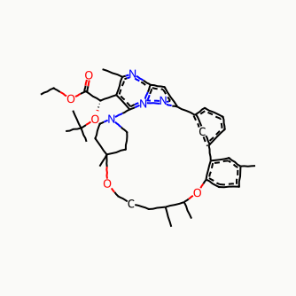 CCOC(=O)[C@@H](OC(C)(C)C)c1c(C)nc2cc3nn2c1N1CCC(C)(CC1)OCCCC(C)C(C)Oc1ccc(C)cc1-c1cccc-3c1